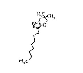 CCCCCCCCc1cnn2c1OCC(C)(C)C2